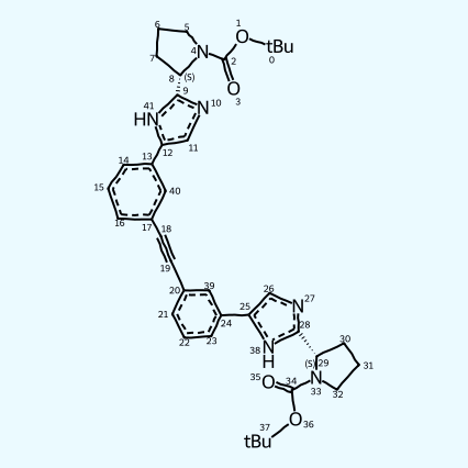 CC(C)(C)OC(=O)N1CCC[C@H]1c1ncc(-c2cccc(C#Cc3cccc(-c4cnc([C@@H]5CCCN5C(=O)OC(C)(C)C)[nH]4)c3)c2)[nH]1